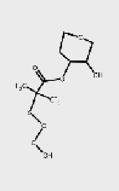 O=C(OC1CCCCC1O)C(SOOO)(C(F)(F)F)C(F)(F)F